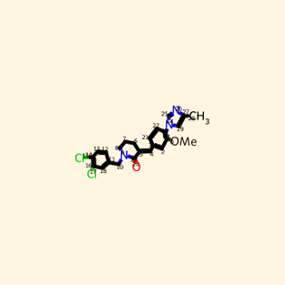 COc1cc(C=C2CCCN(Cc3ccc(Cl)c(Cl)c3)C2=O)ccc1-n1cnc(C)c1